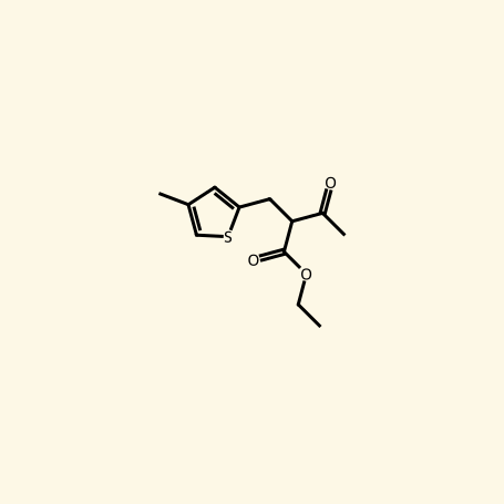 CCOC(=O)C(Cc1cc(C)cs1)C(C)=O